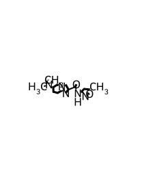 Cc1cc(NC(=O)c2cn3cc(N(C)C)ccc3n2)no1